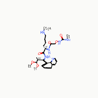 CCNC(=O)NOCC(=O)N[C@@H](CCCCNC(=O)O)C(=O)NC(c1cccc2cccnc12)[C@H](C)C(OCC)OCC